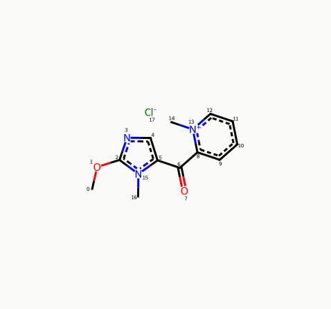 COc1ncc(C(=O)c2cccc[n+]2C)n1C.[Cl-]